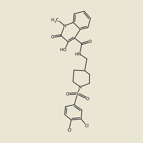 Cn1c(=O)c(O)c(C(=O)NCC2CCN(S(=O)(=O)c3ccc(Cl)c(Cl)c3)CC2)c2ccccc21